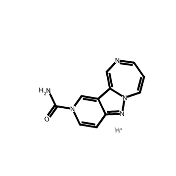 NC(=O)N1C=Cc2nn3c(c2=C1)=CN=CC=C3.[H+]